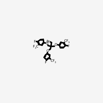 Fc1ccc(OCC(CBr)(COc2ccc(F)c(C(F)(F)F)c2)COc2ccc(F)c(C(F)(F)F)c2)cc1C(F)(F)F